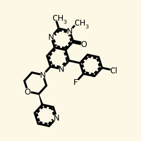 Cc1nc2cc(N3CCO[C@H](c4cccnc4)C3)nc(-c3ccc(Cl)cc3F)c2c(=O)n1C